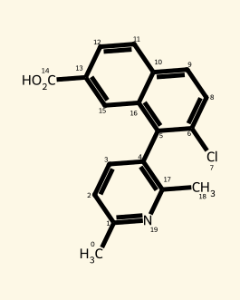 Cc1ccc(-c2c(Cl)ccc3ccc(C(=O)O)cc23)c(C)n1